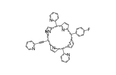 Fc1ccc(-c2c3nc(c(-c4ccccn4)c4ccc([nH]4)c(C#Cc4ccccn4)c4nc(c(-c5ccccn5)c5ccc2s5)C=C4)C=C3)cc1